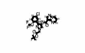 CC(C)(C)OC(=O)Cn1cc(NC(=O)c2cnn3cccnc23)c(-c2cc(Cl)ccc2OC(F)F)n1